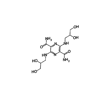 NC(=O)c1nc(NCC(O)CO)c(C(N)=O)nc1NCC(O)CO